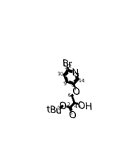 CC(C)(C)OC(=O)C(O)COc1ccc(Br)nc1